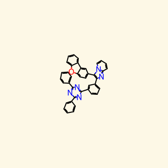 c1ccc(-c2nc(-c3ccccc3)nc(-c3cccc(-c4nc5ccccn5c4-c4ccc5oc6ccccc6c5c4)c3)n2)cc1